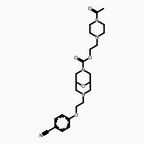 CC(=O)N1CCN(CCOC(=O)N2CC3CN(CCOc4ccc(C#N)cc4)CC(C2)O3)CC1